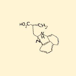 C=C(CC1=Nc2cccc3cccc(c23)N1)C(=O)O